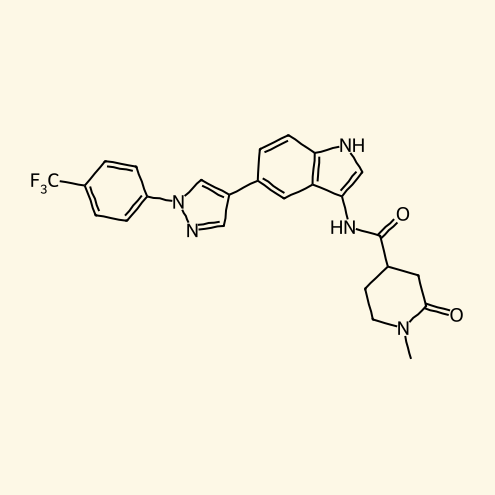 CN1CCC(C(=O)Nc2c[nH]c3ccc(-c4cnn(-c5ccc(C(F)(F)F)cc5)c4)cc23)CC1=O